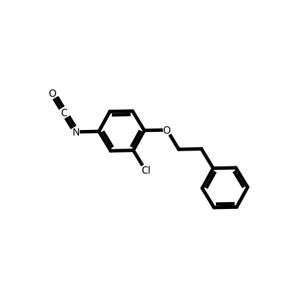 O=C=Nc1ccc(OCCc2ccccc2)c(Cl)c1